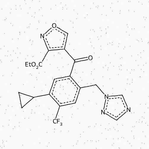 CCOC(=O)c1nocc1C(=O)c1cc(C2CC2)c(C(F)(F)F)cc1Cn1cncn1